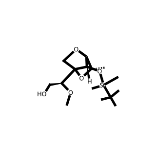 CO[C@@H](CO)C12COC([C@H](C)O1)[C@@H]2O[Si](C)(C)C(C)(C)C